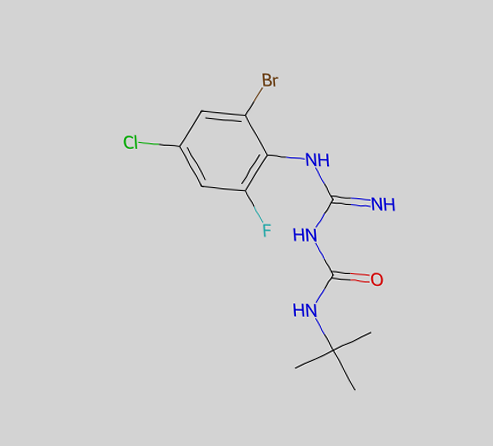 CC(C)(C)NC(=O)NC(=N)Nc1c(F)cc(Cl)cc1Br